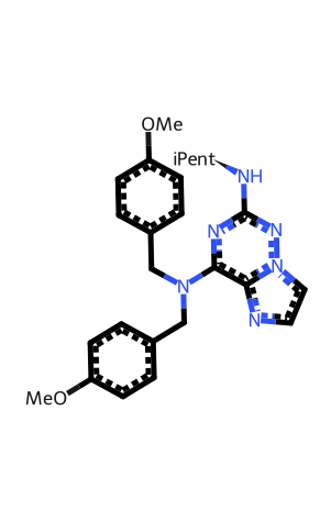 CCC[C@H](C)Nc1nc(N(Cc2ccc(OC)cc2)Cc2ccc(OC)cc2)c2nccn2n1